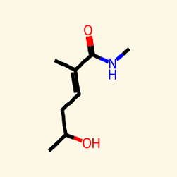 CNC(=O)C(C)=CCC(C)O